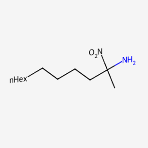 CCCCCCCCCCC(C)(N)[N+](=O)[O-]